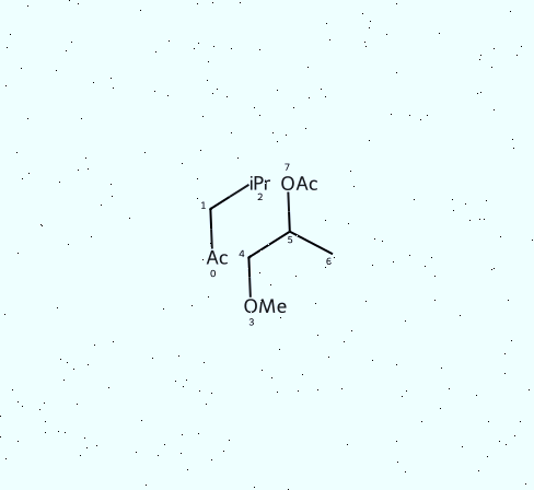 CC(=O)CC(C)C.COCC(C)OC(C)=O